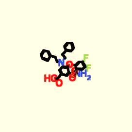 NS(=O)(=O)c1cc(C(=O)O)cc(N(CCc2ccccc2)CCc2ccccc2)c1Oc1ccc(F)c(F)c1